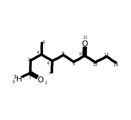 [3H]C(=O)CC(C)C(C)CCC(=O)CCC